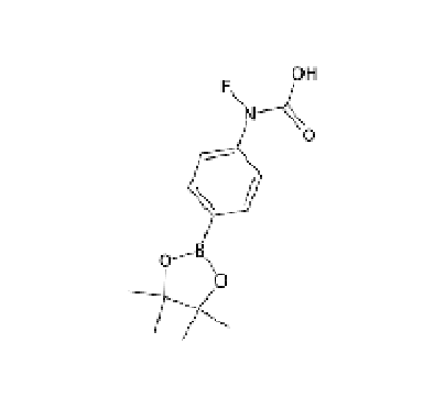 CC1(C)OB(c2ccc(N(F)C(=O)O)cc2)OC1(C)C